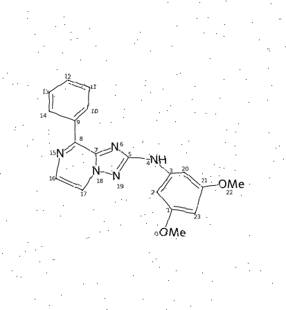 COc1cc(Nc2nc3c(-c4ccccc4)nccn3n2)cc(OC)c1